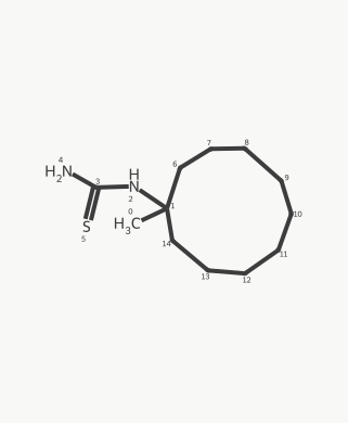 CC1(NC(N)=S)CCCCCCCCC1